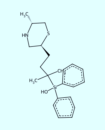 C[C@@H]1CS[C@@H](CCC(C)(C)[Si](O)(c2ccccc2)c2ccccc2)CN1